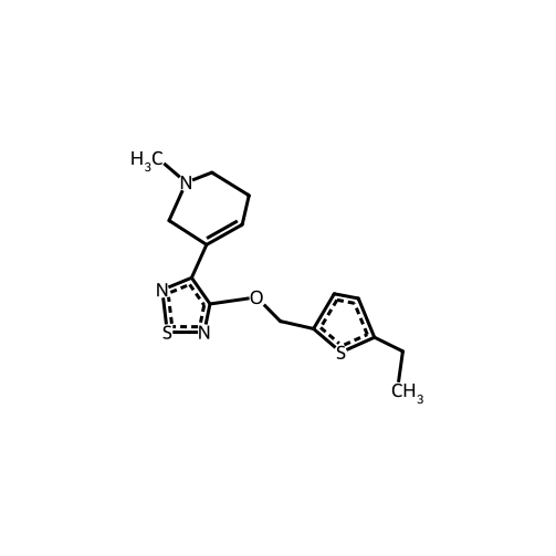 CCc1ccc(COc2nsnc2C2=CCCN(C)C2)s1